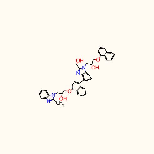 OCc1nc2c(-c3ccc(OC[C@H](O)Cn4c(C(F)(F)F)nc5ccccc54)c4ccccc34)cccc2n1C[C@@H](O)COc1cccc2ccccc12